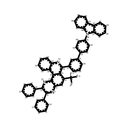 FC(F)(F)c1cc2nc(-c3ccccc3)c(-c3ccccc3)nc2c2c1c(-c1cccc(-c3ccc(-n4c5ccccc5c5ccccc54)cc3)c1)nc1ccccc12